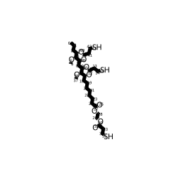 CCCCC(OC)C(CC(OC(=O)CCS)C(CCCCCCCCC(=O)OCCOC(=O)CCS)OC)OC(=O)CCS